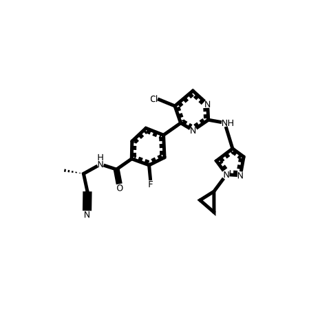 C[C@@H](C#N)NC(=O)c1ccc(-c2nc(Nc3cnn(C4CC4)c3)ncc2Cl)cc1F